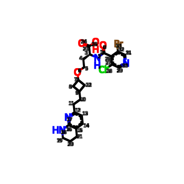 O=C(N[C@@H](CCOC1CC(CCc2ccc3c(n2)NCCC3)C1)C(=O)O)c1c(Cl)cncc1Br